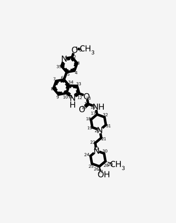 COc1ccc(-c2cccc3[nH]c(OC(=O)NC4CCN(CCN5CC[C@H](O)[C@@H](C)C5)CC4)cc23)cn1